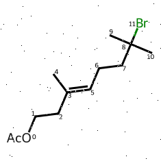 CC(=O)OCC/C(C)=C/CCC(C)(C)Br